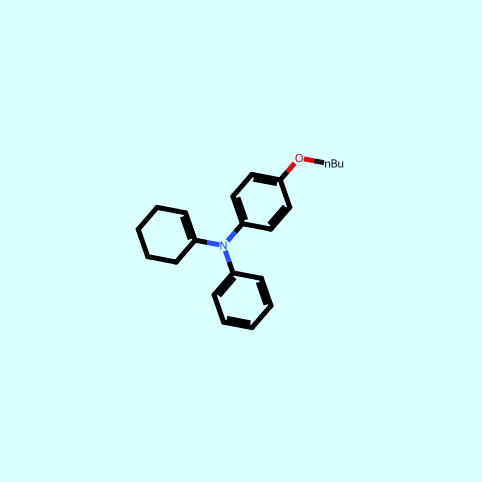 CCCCOc1ccc(N(C2=CCCCC2)c2ccccc2)cc1